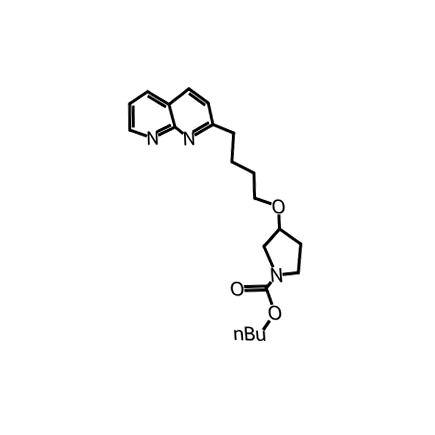 CCCCOC(=O)N1CCC(OCCCCc2ccc3cccnc3n2)C1